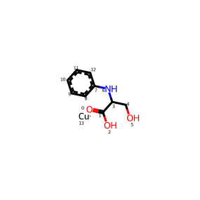 O=C(O)C(CO)Nc1ccccc1.[Cu]